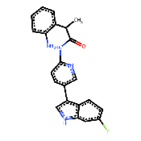 CC(C(=O)Nc1ccc(-c2c[nH]c3cc(F)ccc23)cn1)c1ccccc1N